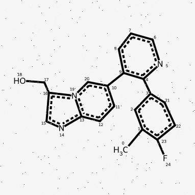 Cc1cc(-c2ncccc2-c2ccc3ncc(CO)n3c2)ccc1F